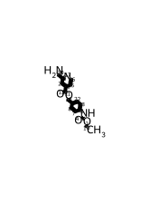 CCOC(=O)Nc1ccc(COC(=O)c2ccnc(CN)c2)cc1